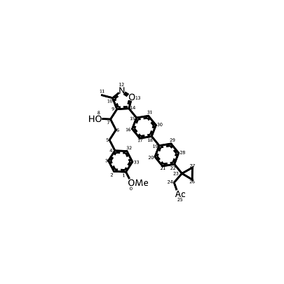 COc1ccc(CCC(O)c2c(C)noc2-c2ccc(-c3ccc(C4(CC(C)=O)CC4)cc3)cc2)cc1